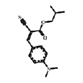 CC(C)COC(=O)C(C#N)=Cc1ccc(N(C)C)cc1